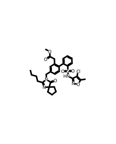 CCCCC1=NC2(CCCC2)C(=O)N1Cc1ccc(-c2ccccc2S(=O)(=O)Nc2noc(C)c2Cl)c(CC(=O)OC)c1